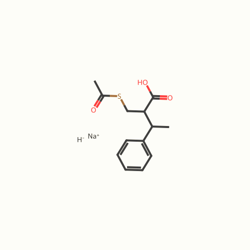 CC(=O)SCC(C(=O)O)C(C)c1ccccc1.[H-].[Na+]